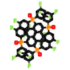 O=P(c1cc(F)cc(F)c1)(c1cc(F)cc(F)c1)c1cc(P(=O)(c2cc(F)cc(F)c2)c2cc(F)cc(F)c2)c2ccc3c(P(=O)(c4cc(F)cc(F)c4)c4cc(F)cc(F)c4)cc(P(=O)(c4cc(F)cc(F)c4)c4cc(F)cc(F)c4)c4ccc1c2c43